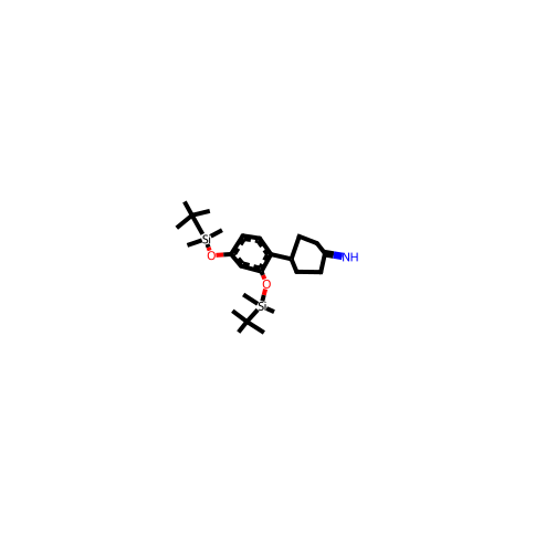 CC(C)(C)[Si](C)(C)Oc1ccc(C2CCC(=N)CC2)c(O[Si](C)(C)C(C)(C)C)c1